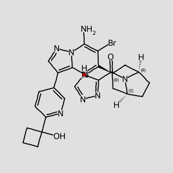 Nc1c(Br)c([C@H]2C[C@H]3CC[C@@H](C2)N3C(=O)c2nnc[nH]2)nc2c(-c3ccc(C4(O)CCC4)nc3)cnn12